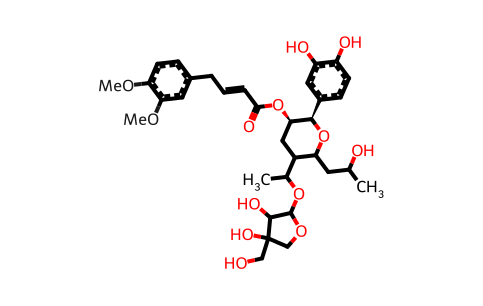 COc1ccc(C/C=C/C(=O)O[C@@H]2CC(C(C)OC3OCC(O)(CO)C3O)C(CC(C)O)O[C@@H]2c2ccc(O)c(O)c2)cc1OC